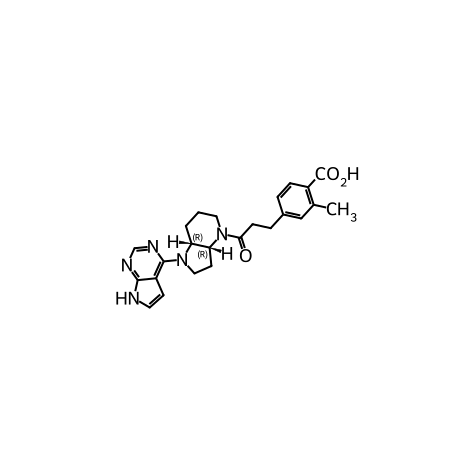 Cc1cc(CCC(=O)N2CCC[C@@H]3[C@H]2CCN3c2ncnc3[nH]ccc23)ccc1C(=O)O